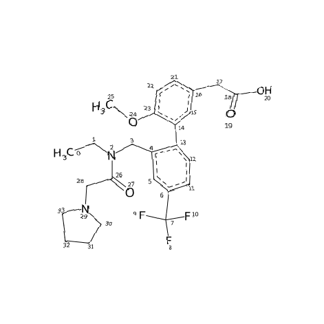 CCN(Cc1cc(C(F)(F)F)ccc1-c1cc(CC(=O)O)ccc1OC)C(=O)CN1CCCC1